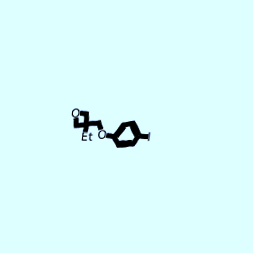 CCC1(COc2ccc(I)cc2)COC1